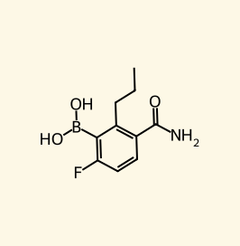 CCCc1c(C(N)=O)ccc(F)c1B(O)O